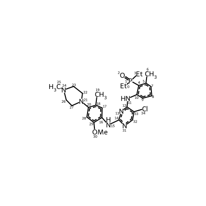 CCP(=O)(CC)c1c(C)cccc1Nc1nc(Nc2cc(C)c(N3CCN(C)CC3)cc2OC)ncc1Cl